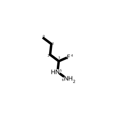 CCCC(F)NN